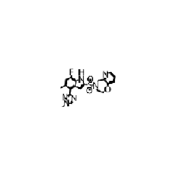 Cc1cc(F)c2[nH]c(S(=O)(=O)N3CCOc4cccnc4C3)cc2c1-c1ncn(C)n1